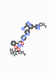 Cn1cc(-c2cc(-c3ccc(N4CCN(C(=O)C[C@H](NC(=O)OC(C)(C)C)c5ccccc5)CC4)nc3)c3c(C#N)cnn3c2)cn1